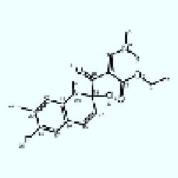 CCOC(=O)C(=CN(C)C)C(=O)C1(Cl)C=Cc2cc(F)c(F)cc2N1